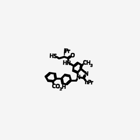 CCCc1nc2c(C)cc(NC(=O)[C@H](CS)C(C)C)cc2n1Cc1ccc(-c2ccccc2C(=O)O)cc1